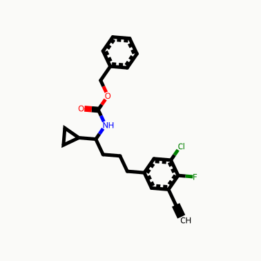 C#Cc1cc(CCCC(NC(=O)OCc2ccccc2)C2CC2)cc(Cl)c1F